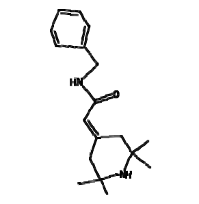 CC1(C)CC(=CC(=O)NCc2ccccc2)CC(C)(C)N1